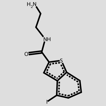 NCCNC(=O)c1cc2c(I)cccc2s1